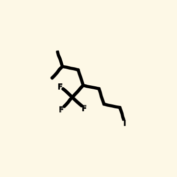 CC(C)CC(CCCI)C(F)(F)F